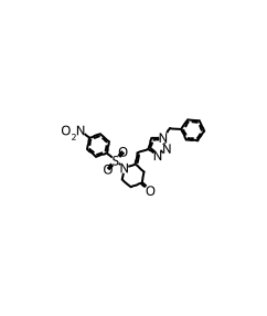 O=C1CCN(S(=O)(=O)c2ccc([N+](=O)[O-])cc2)C(=Cc2cn(Cc3ccccc3)nn2)C1